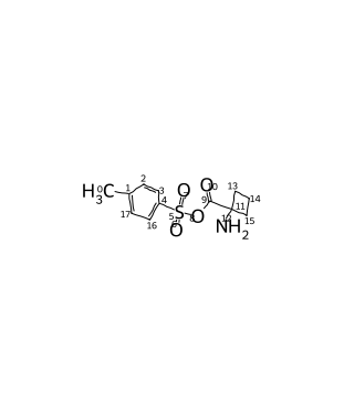 Cc1ccc(S(=O)(=O)OC(=O)C2(N)CCC2)cc1